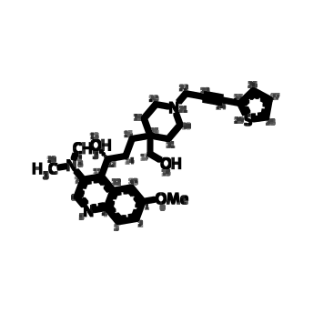 COc1ccc2ncc(N(C)C)c([C@H](O)CCC3(CO)CCN(CC#Cc4cccs4)CC3)c2c1